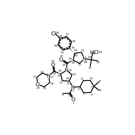 CC(=O)N(C1CCC(C)(C)CC1)[C@H]1C[C@@H](C(=O)N2CCOCC2)N(C(=O)[C@@H]2CN(C(C)(C)C)C[C@H]2c2ccc(Cl)cc2)C1.Cl